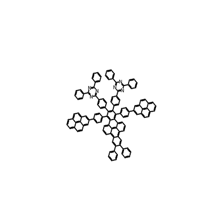 c1ccc(-c2nc(-c3ccccc3)nc(-c3ccc(-c4c(-c5ccc(-c6nc(-c7ccccc7)nc(-c7ccccc7)n6)cc5)c(-c5ccc(-c6cc7ccc8cccc9ccc(c6)c7c89)cc5)c5c6cccc7c8cc(-c9ccccc9)c(-c9ccccc9)cc8c8cccc(c5c4-c4ccc(-c5cc9ccc%10cccc%11ccc(c5)c9c%10%11)cc4)c8c76)cc3)n2)cc1